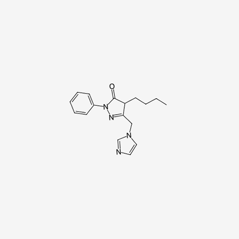 CCCCC1C(=O)N(c2ccccc2)N=C1Cn1ccnc1